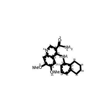 COc1cc2ncc(C(N)=O)c(Nc3cccc4c3CCCC4)c2cc1OC